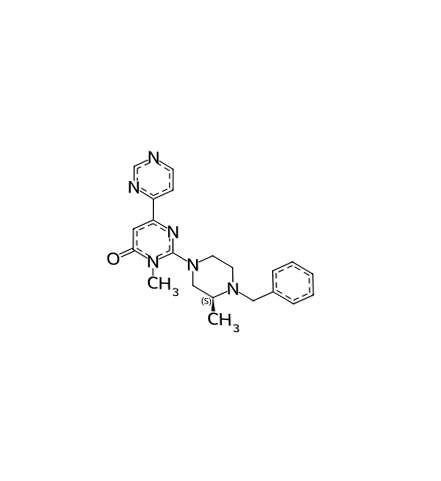 C[C@H]1CN(c2nc(-c3ccncn3)cc(=O)n2C)CCN1Cc1ccccc1